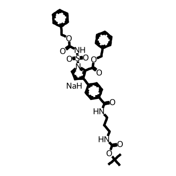 CC(C)(C)OC(=O)NCCCNC(=O)c1ccc(-c2ccn(S(=O)(=O)NC(=O)OCc3ccccc3)c2C(=O)OCc2ccccc2)cc1.[NaH]